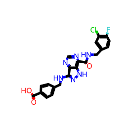 O=C(O)c1ccc(CNc2n[nH]c3c(C(=O)NCc4ccc(F)c(Cl)c4)ncnc23)cc1